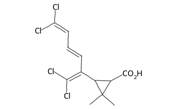 CC1(C)C(C(=O)O)C1C(C=CC=C(Cl)Cl)=C(Cl)Cl